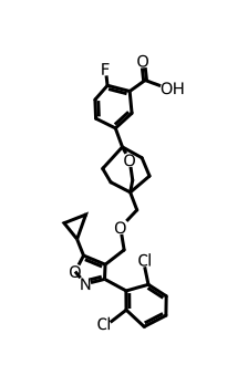 O=C(O)c1cc(C23CCC(COCc4c(-c5c(Cl)cccc5Cl)noc4C4CC4)(CC2)CO3)ccc1F